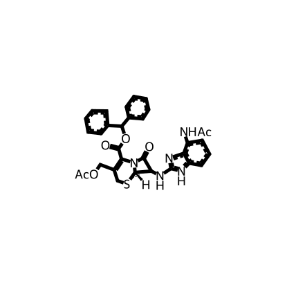 CC(=O)Nc1cccc2[nH]c(NC3C(=O)N4C(C(=O)OC(c5ccccc5)c5ccccc5)=C(COC(C)=O)CS[C@@H]34)nc12